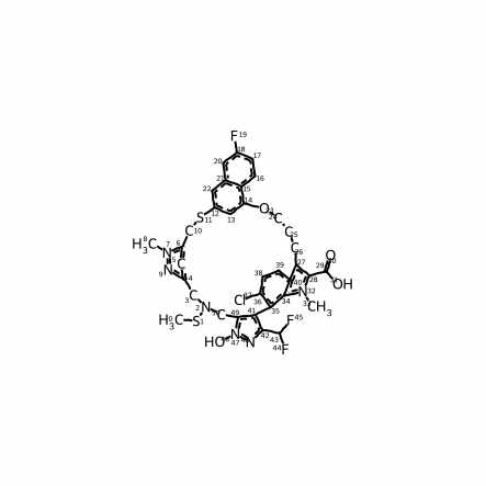 CSN1Cc2cc(n(C)n2)CSc2cc(c3ccc(F)cc3c2)OCCCc2c(C(=O)O)n(C)c3c(c(Cl)ccc23)-c2c(C(F)F)nn(O)c2C1